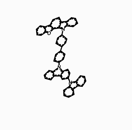 c1ccc2c(c1)oc1c2ccc2c3ccccc3n(-c3ccc(-c4ccc(-n5c6ccccc6c6cc(-n7c8ccccc8c8ccccc87)ccc65)cc4)cc3)c21